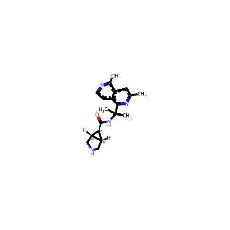 Cc1cc2c(C)nccc2c(C(C)(C)NC(=O)[C@H]2[C@@H]3CNC[C@@H]32)n1